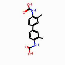 Cc1cc(-c2ccc(NC(=O)O)c(C)c2)ccc1NC(=O)O